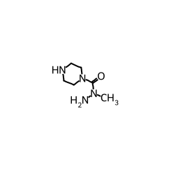 CN(N)C(=O)N1CCNCC1